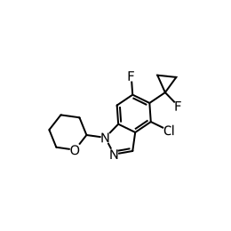 Fc1cc2c(cnn2C2CCCCO2)c(Cl)c1C1(F)CC1